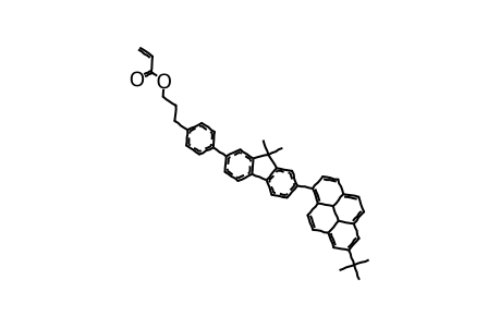 C=CC(=O)OCCCc1ccc(-c2ccc3c(c2)C(C)(C)c2cc(C4=C5C=CC6=CC(C(C)(C)C)=CC7=CC=C(C=C4)C5C76)ccc2-3)cc1